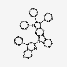 c1ccc(-c2cc(-n3c4ccccc4c4cc5c(-c6ccccc6)c(-c6ccccc6)n(-c6ccccc6)c5cc43)nc3ccncc23)cc1